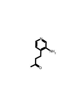 CC(=O)CCc1ccncc1N